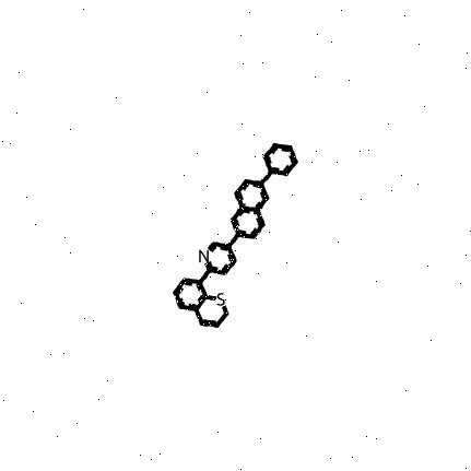 C1=Cc2cccc(-c3ccc(-c4ccc5cc(-c6ccccc6)ccc5c4)cn3)c2SC1